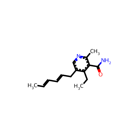 CC=CC=CCc1cnc(C)c(C(N)=O)c1CC